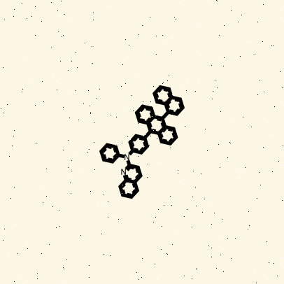 c1ccc(N(c2ccc(-c3c4ccccc4c(-c4cccc5ccccc45)c4ccccc34)cc2)c2ccc3ccccc3n2)cc1